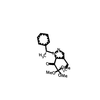 C=Cc1cnn([C@H](C)c2ccccc2)c1C(=O)C(OC)(OC)OC